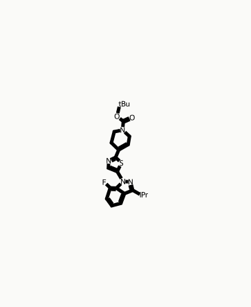 CC(C)c1nn(-c2cnc(C3=CCN(C(=O)OC(C)(C)C)CC3)s2)c2c(F)cccc12